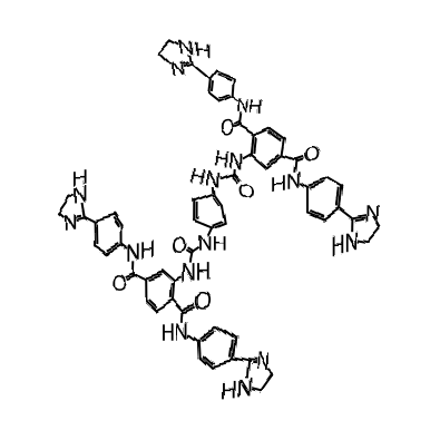 O=C(Nc1ccc(NC(=O)Nc2cc(C(=O)Nc3ccc(C4=NCCN4)cc3)ccc2C(=O)Nc2ccc(C3=NCCN3)cc2)cc1)Nc1cc(C(=O)Nc2ccc(C3=NCCN3)cc2)ccc1C(=O)Nc1ccc(C2=NCCN2)cc1